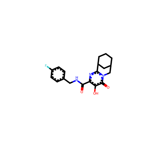 O=C(NCc1ccc(F)cc1)c1nc2n(c(=O)c1O)CC1CCCC2C1